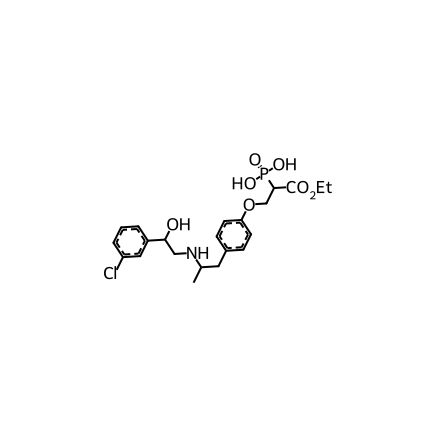 CCOC(=O)C(COc1ccc(CC(C)NCC(O)c2cccc(Cl)c2)cc1)P(=O)(O)O